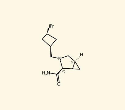 CC(C)[C@H]1C[C@@H](CN2C[C@H]3CC3[C@H]2C(N)=O)C1